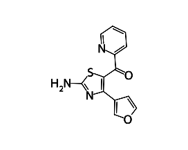 Nc1nc(-c2ccoc2)c(C(=O)c2ccccn2)s1